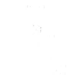 CC1=Cc2c(-c3ccc(C(C)(C)C)cc3)cccc2C1c1cc2c3c(-c4ccccc4)c1[Si](C)(C)C3=C(C(C)C)[CH]2